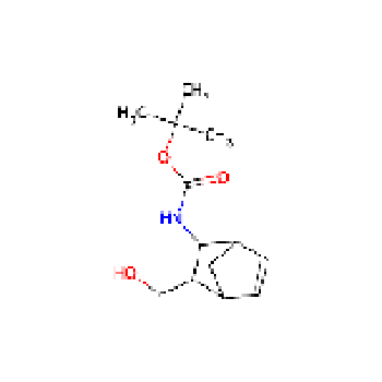 CC(C)(C)OC(=O)NC1C2C=CC(C2)C1CO